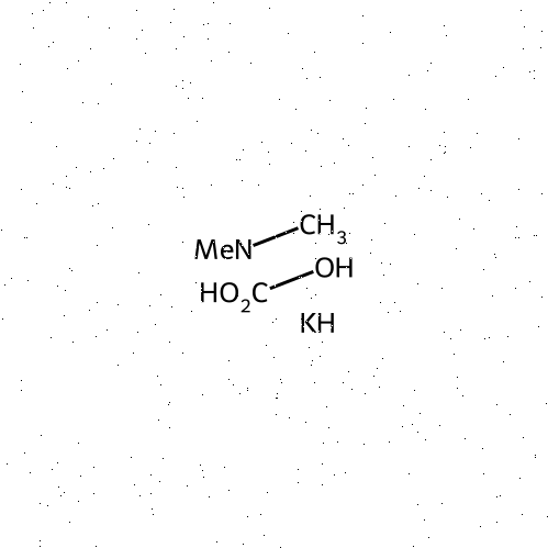 CNC.O=C(O)O.[KH]